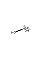 CC(O)NCCCCCCO